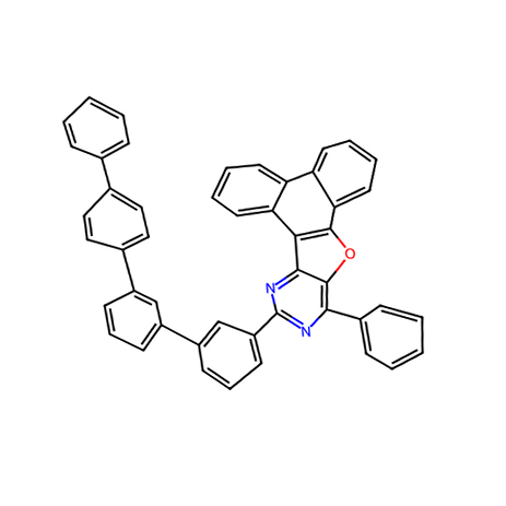 c1ccc(-c2ccc(-c3cccc(-c4cccc(-c5nc(-c6ccccc6)c6oc7c8ccccc8c8ccccc8c7c6n5)c4)c3)cc2)cc1